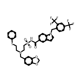 O=C(NS(=O)(=O)CCN(CCSc1ccccc1)Cc1ccc2c(c1)OCO2)c1ccc2c(ccn2Cc2ccc(C(F)(F)F)cc2C(F)(F)F)c1